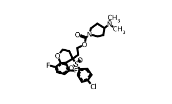 CN(C)C1CCN(C(=O)OCCC2(S(=O)(=O)c3ccc(Cl)cc3)CCOc3c(F)ccc(F)c32)CC1